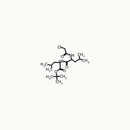 CC(C)CC(NC(=O)CCl)C(=O)NC(CC(C)C)C(=O)OC(C)(C)C